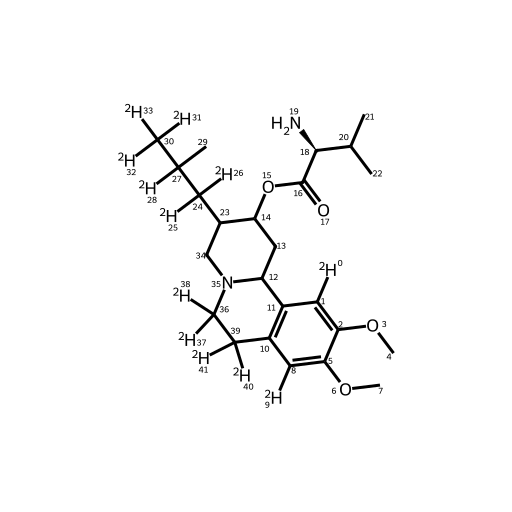 [2H]c1c(OC)c(OC)c([2H])c2c1C1CC(OC(=O)[C@@H](N)C(C)C)C(C([2H])([2H])C([2H])(C)C([2H])([2H])[2H])CN1C([2H])([2H])C2([2H])[2H]